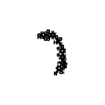 C=C1N(c2ccc(C#N)c(OC)c2F)C(=O)C(C)(C)N1c1cnc(-c2ccc(OCCNC(=O)COc3ccc4c(c3)C(=O)N(C3CCC(=O)NC3=O)C4=O)c(F)c2)c(F)c1